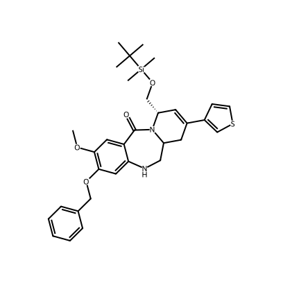 COc1cc2c(cc1OCc1ccccc1)NCC1CC(c3ccsc3)=C[C@@H](CO[Si](C)(C)C(C)(C)C)N1C2=O